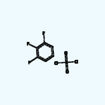 Fc1cccc(F)c1F.O=S(=O)(Cl)Cl